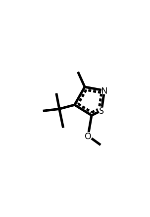 COc1snc(C)c1C(C)(C)C